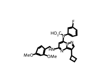 COc1ccc(CNc2cc(N(C(=O)O)c3cccc(F)c3)n3ncc(C4CCC4)c3n2)c(OC)c1